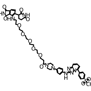 CS(=O)(=O)c1ccc(-c2cccc3nc(Nc4ccc(N5CCN(C(=O)CCOCCOCCOCCOCCOCCNc6c(C7CCC(=O)NC7=O)ccc7c6C(=O)NC7=O)CC5)cc4)nn23)cc1